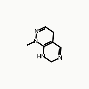 CN1N=CCC2=C1NCN=C2